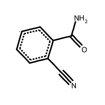 N#Cc1cc[c]cc1C(N)=O